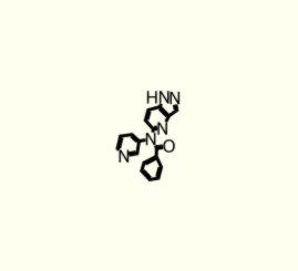 O=C(c1ccccc1)N(c1cccnc1)c1ccc2[nH]ncc2n1